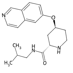 CC(C)CNC(=O)[C@@H]1C[C@@H](Oc2ccc3cnccc3c2)CCN1